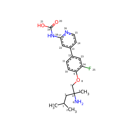 CC(C)CC(C)(N)COc1ccc(-c2ccnc(NC(=O)O)c2)cc1F